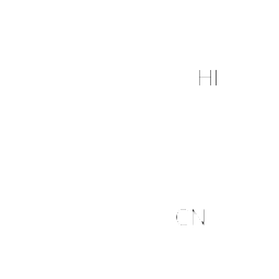 I.N#Cc1ccccc1